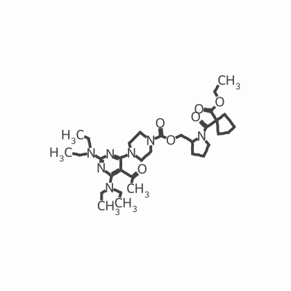 CCOC(=O)C1(C(=O)N2CCCC2COC(=O)N2CCN(c3nc(N(CC)CC)nc(N(CC)CC)c3C(C)=O)CC2)CCCC1